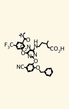 CC(CCNc1nc(Oc2cc(C#N)ccc2OCc2ccccc2)nc(Oc2cc(C(=O)N(C)C)cc(C(F)(F)F)c2)c1[N+](=O)[O-])CC(=O)O